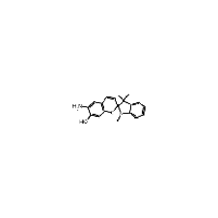 CN1c2ccccc2C(C)(C)C12C=Cc1cc(N)c(O)cc1O2